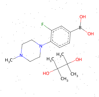 CC(C)(O)C(C)(C)O.CN1CCN(c2ccc(B(O)O)cc2F)CC1